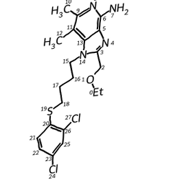 CCOCc1nc2c(N)nc(C)c(C)c2n1CCCCSc1ccc(Cl)cc1Cl